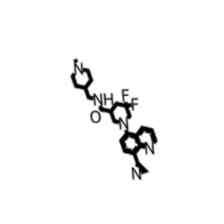 CN1CCC(CNC(=O)C2CN(c3ccc(C4C=N4)c4ncccc34)CC(F)(F)C2)CC1